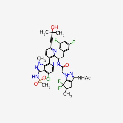 CC(=O)Nc1nn(CC(=O)N[C@@H](Cc2cc(F)cc(F)c2)c2nc(C#CC(C)(C)O)ccc2-c2ccc(Cl)c3c(NS(C)(=O)=O)nn(C)c23)c2c1C[C@@H](C)C2(F)F